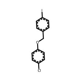 Clc1ccc(OCc2ccc(I)cc2)cc1